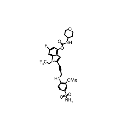 COc1cc(S(N)(=O)=O)ccc1NCC#Cc1cc2c(OC(=O)NC3CCOCC3)cc(F)cc2n1CC(F)(F)F